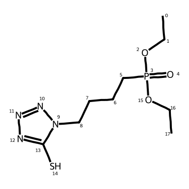 CCOP(=O)(CCCCn1nnnc1S)OCC